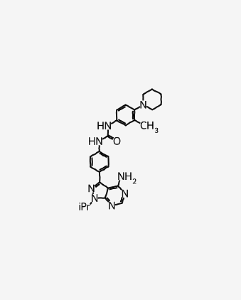 Cc1cc(NC(=O)Nc2ccc(-c3nn(C(C)C)c4ncnc(N)c34)cc2)ccc1N1CCCCC1